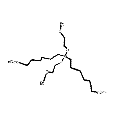 CCCCCCCCCCCCCCCC[Si](CCCCCCCCCCCCCCCC)(OCCOCC)OCCOCC